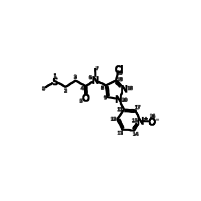 CSCCC(=O)N(C)c1cn(-c2ccc[n+]([O-])c2)nc1Cl